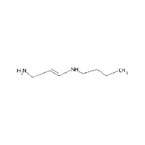 CCCCN/C=C/CN